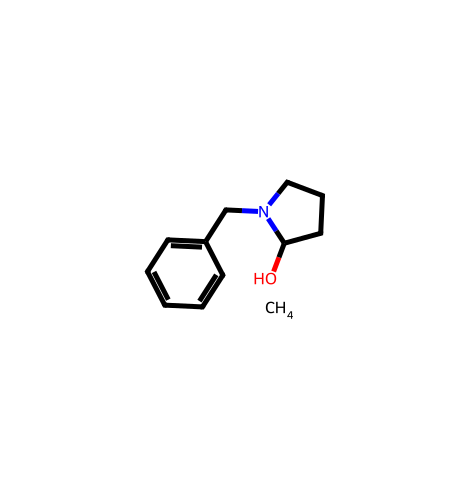 C.OC1CCCN1Cc1ccccc1